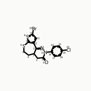 O=C1CC2CCSc3sc(Br)cc3C2=NN1c1ccc(Cl)cc1